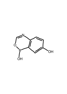 OB1OC=Nc2ccc(O)cc21